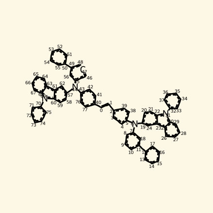 C(=C\c1ccc(N(c2cccc(-c3ccccc3)c2)c2ccc3c(c2)c2ccccc2n3-c2ccccc2)cc1)/c1ccc(N(c2cccc(-c3ccccc3)c2)c2ccc3c(c2)c2ccccc2n3-c2ccccc2)cc1